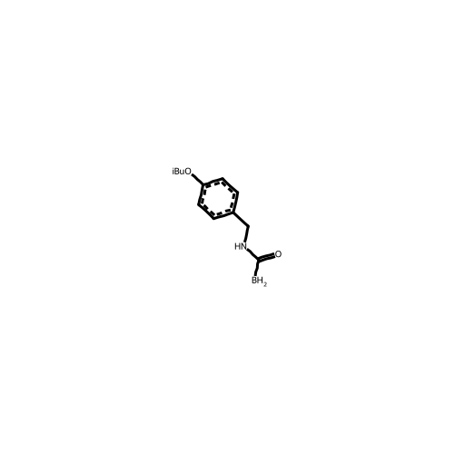 BC(=O)NCc1ccc(OCC(C)C)cc1